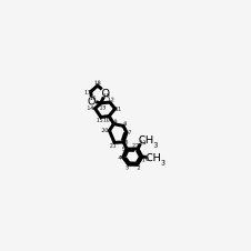 Cc1cccc(C2=CCC(C3CCC4(CC3)OCCO4)CC2)c1C